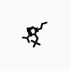 CCCN1C=NN(C(C)C)C1CC(C)(C)C